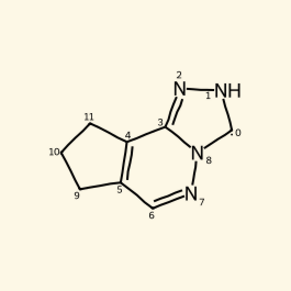 [CH]1NN=C2C3=C(C=NN12)CCC3